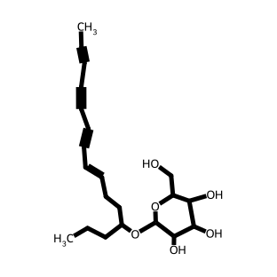 CC#CC#CC#C/C=C/CCC(CCC)OC1OC(CO)C(O)C(O)C1O